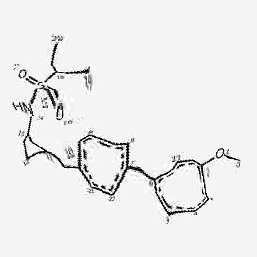 COc1cccc(-c2ccc(C3CC3NS(=O)(=O)C(C)C)cc2)c1